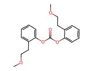 COCCc1ccccc1OC(=O)Oc1ccccc1CCOC